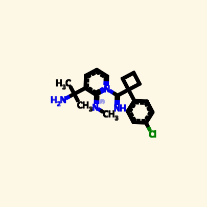 C/N=c1/c(C(C)(C)N)cccn1C(=N)C1(c2ccc(Cl)cc2)CCC1